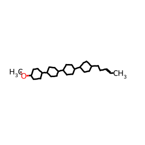 C/C=C/CCC1CCC(C2CCC(C3CCC(C4CCC(OC)CC4)CC3)CC2)CC1